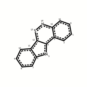 c1ccc2c3nc4ccccc4c-3snc2c1